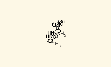 Cc1cccc(NC(=O)NC(CC(=O)N(CC(=O)OC(C)(C)C)c2ccccc2)C(N)=O)c1